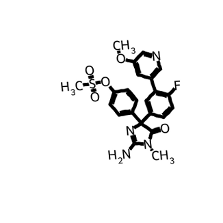 COc1cncc(-c2cc(C3(c4ccc(OS(C)(=O)=O)cc4)N=C(N)N(C)C3=O)ccc2F)c1